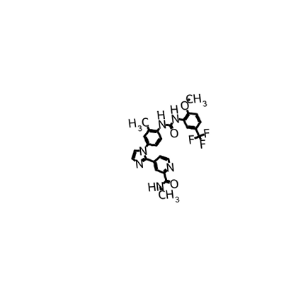 CNC(=O)c1cc(-c2nccn2-c2ccc(NC(=O)Nc3cc(C(F)(F)F)ccc3OC)c(C)c2)ccn1